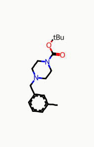 Cc1cccc(CN2CCN(C(=O)OC(C)(C)C)CC2)c1